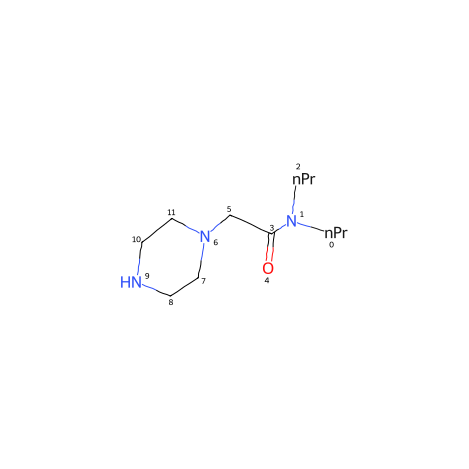 CCCN(CCC)C(=O)CN1CCNCC1